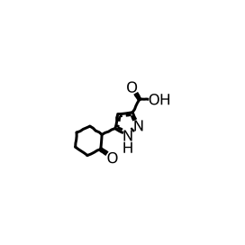 O=C(O)c1cc(C2CCCCC2=O)[nH]n1